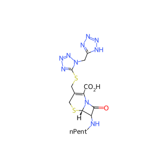 CCCCCNC1C(=O)N2C(C(=O)O)=C(CSc3nnnn3Cc3nnn[nH]3)CS[C@@H]12